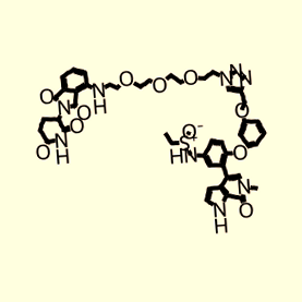 CC[S+]([O-])Nc1ccc(Oc2cccc(OCc3cn(CCOCCOCCOCCNc4cccc5c4C(=O)N(C4CCC(=O)NC4=O)C5=O)nn3)c2)c(-c2cn(C)c(=O)c3[nH]ccc23)c1